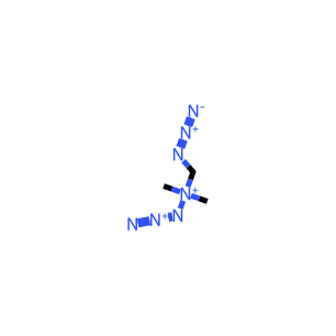 C[N+](C)(CN=[N+]=[N-])N=[N+]=[N-]